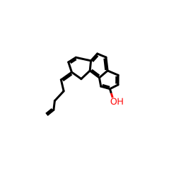 C=CCC/C=C1/C=Cc2ccc3ccc(O)cc3c2C1